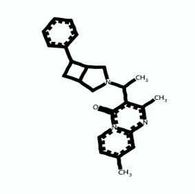 Cc1ccn2c(=O)c(C(C)N3CC4CC(c5ccccc5)C4C3)c(C)nc2c1